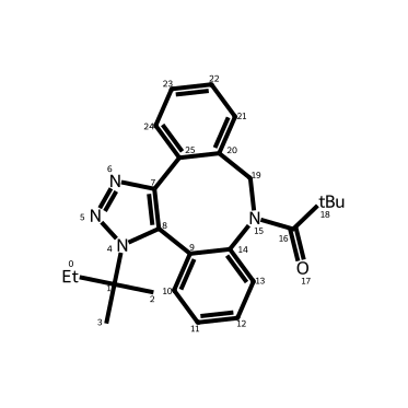 CCC(C)(C)n1nnc2c1-c1ccccc1N(C(=O)C(C)(C)C)Cc1ccccc1-2